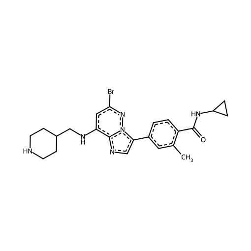 Cc1cc(-c2cnc3c(NCC4CCNCC4)cc(Br)nn23)ccc1C(=O)NC1CC1